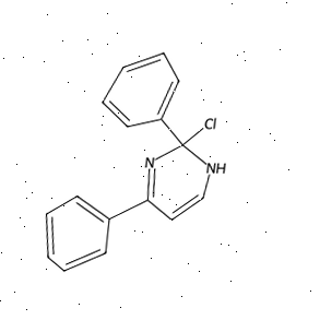 ClC1(c2ccccc2)N=C(c2ccccc2)C=CN1